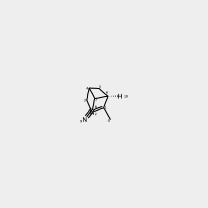 CC1=NCC2C[C@@H]1C2C#N